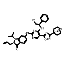 C=CCn1c(=O)c2ccc(Nc3ncc(-c4nc(C56CCN(CC5)CC6)no4)c(NC(CO)c4ccccc4)n3)cc2n1C(C)C